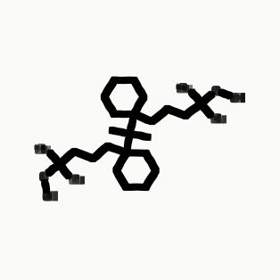 CC(C)(C)C(CCCC1(C(C)(C)C2(CCCC(OO)(C(C)(C)C)C(C)(C)C)CCCCC2)CCCCC1)(OO)C(C)(C)C